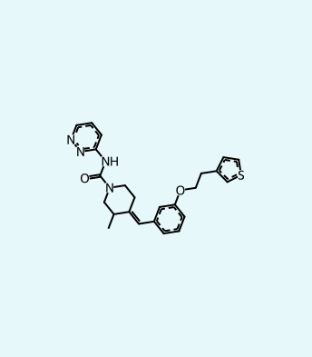 CC1CN(C(=O)Nc2cccnn2)CCC1=Cc1cccc(OCCc2ccsc2)c1